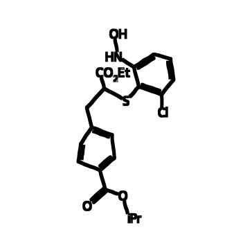 CCOC(=O)C(Cc1ccc(C(=O)OC(C)C)cc1)Sc1c(Cl)cccc1NO